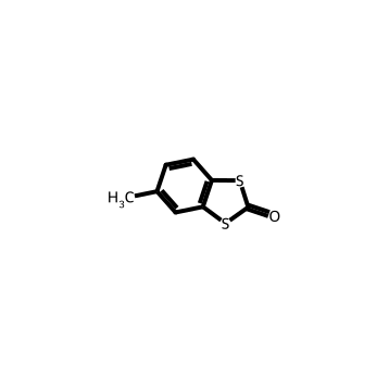 Cc1ccc2sc(=O)sc2c1